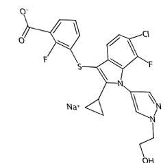 O=C([O-])c1cccc(Sc2c(C3CC3)n(-c3cnn(CCO)c3)c3c(F)c(Cl)ccc23)c1F.[Na+]